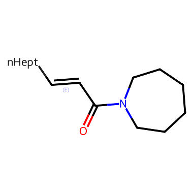 CCCCCCC/C=C/C(=O)N1CCCCCC1